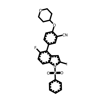 N#Cc1cc(-c2c(F)ccc3c2cc(I)n3S(=O)(=O)c2ccccc2)ccc1OC1CCOCC1